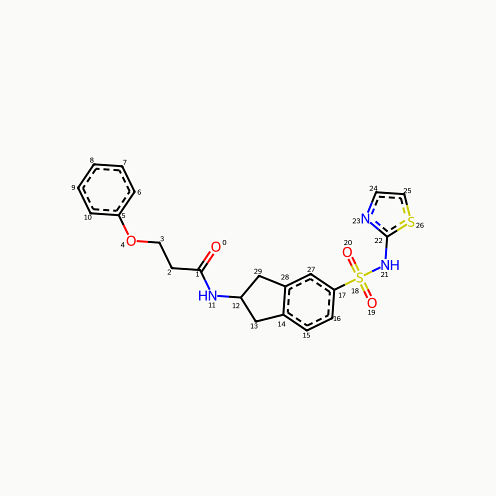 O=C(CCOc1ccccc1)NC1Cc2ccc(S(=O)(=O)Nc3nccs3)cc2C1